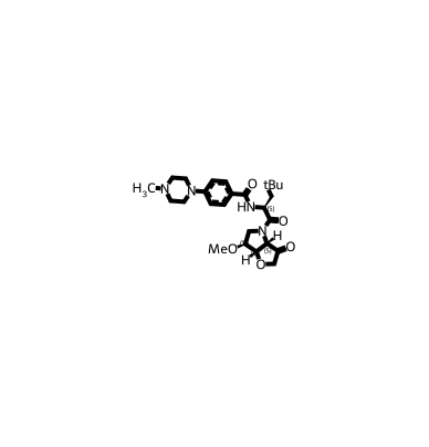 CO[C@H]1CN(C(=O)[C@H](CC(C)(C)C)NC(=O)c2ccc(N3CCN(C)CC3)cc2)[C@@H]2C(=O)CO[C@H]12